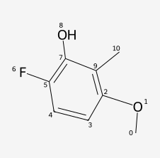 COc1ccc(F)c(O)c1C